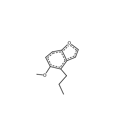 CCCc1c(OC)ccc2occc12